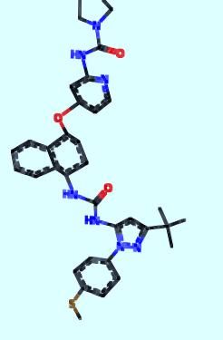 CSc1ccc(-n2nc(C(C)(C)C)cc2NC(=O)Nc2ccc(Oc3ccnc(NC(=O)N4CCCC4)c3)c3ccccc23)cc1